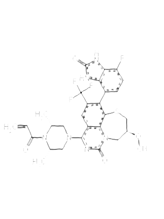 C=CC(=O)N1[C@H](C)CN(c2nc(=O)n3c4c(c(-c5ccc(F)c6[nH]c(=O)[nH]c56)c(C(F)(F)F)cc24)SC[C@@H](OC)C3)C[C@@H]1C